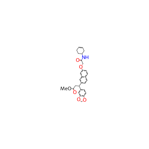 COC(=O)CC(c1ccc2c(c1)OCO2)c1ccc2ccc(OCC(=O)NC3CC=CCC3)cc2c1